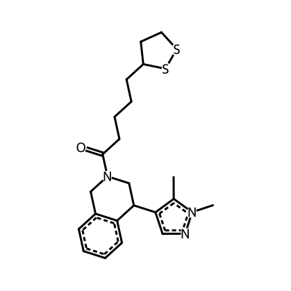 Cc1c(C2CN(C(=O)CCCCC3CCSS3)Cc3ccccc32)cnn1C